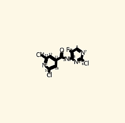 O=C(Nc1nc(Cl)ncc1F)c1cc(Cl)nc(Cl)c1